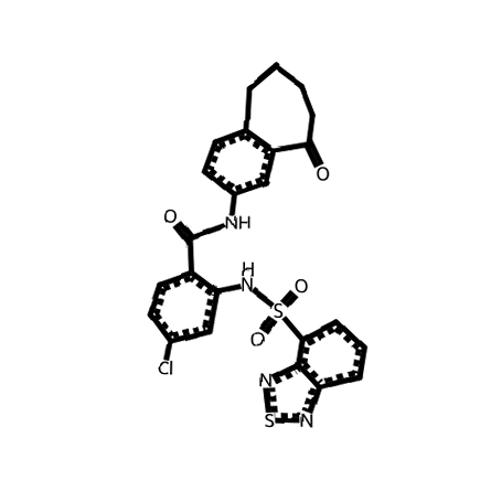 O=C1CCCCc2ccc(NC(=O)c3ccc(Cl)cc3NS(=O)(=O)c3cccc4nsnc34)cc21